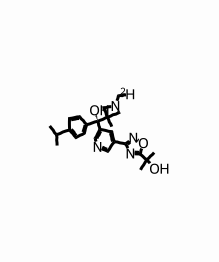 [2H]CN1CC(C)([C@](O)(c2ccc(C(C)C)cc2)c2cncc(-c3noc(C(C)(C)O)n3)c2)C1